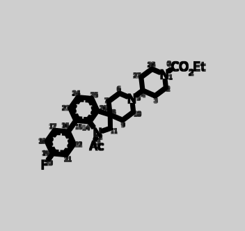 CCOC(=O)N1CCC(N2CCC3(CC2)CN(C(C)=O)c2c(-c4ccc(F)cc4)cccc23)CC1